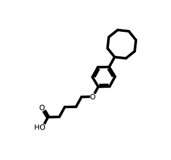 O=C(O)CCCCOc1ccc(C2CCCCCCC2)cc1